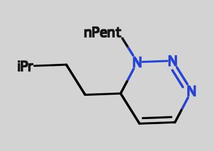 CCCCCN1N=NC=CC1CCC(C)C